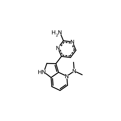 CN(C)N1C=CC=C2NCC(c3ccnc(N)n3)=C21